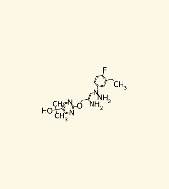 CCc1cc(N(N)/C=C(\N)COc2ncc(C(C)(C)O)cn2)ccc1F